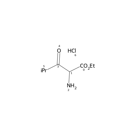 CCOC(=O)C(N)C(=O)C(C)C.Cl